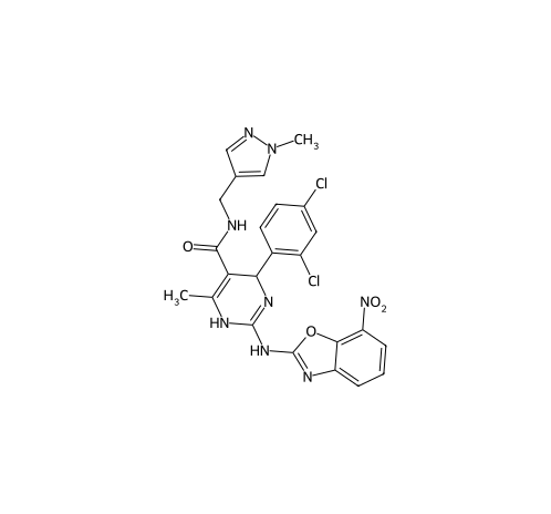 CC1=C(C(=O)NCc2cnn(C)c2)C(c2ccc(Cl)cc2Cl)N=C(Nc2nc3cccc([N+](=O)[O-])c3o2)N1